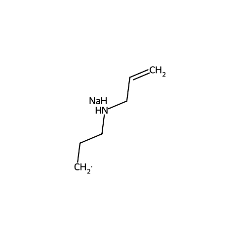 [CH2]CCNCC=C.[NaH]